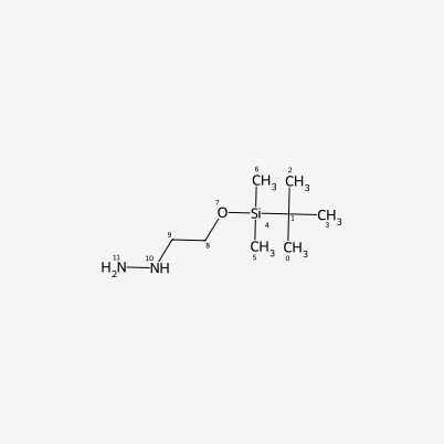 CC(C)(C)[Si](C)(C)OCCNN